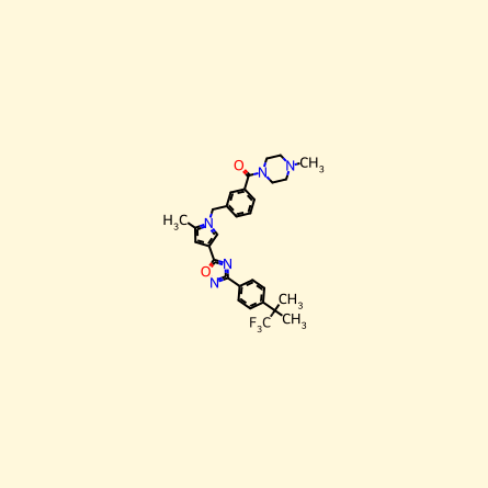 Cc1cc(-c2nc(-c3ccc(C(C)(C)C(F)(F)F)cc3)no2)cn1Cc1cccc(C(=O)N2CCN(C)CC2)c1